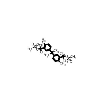 Cc1ccc(C(c2ccc(C)c(C(OS(C)(=O)=O)(C(F)(F)F)C(F)(F)F)c2)(C(F)(F)F)C(F)(F)F)cc1C(OS(C)(=O)=O)(C(F)(F)F)C(F)(F)F